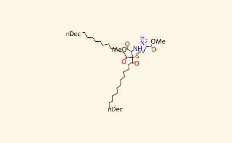 CCCCCCCCCCCCCCCCCCCCCC(=O)C(SSC[C@H](N)C(=O)OC)(C(=O)CCCCCCCCCCCCCCCCCCCCC)[C@H](N)C(=O)OC